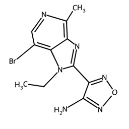 CCn1c(-c2nonc2N)nc2c(C)ncc(Br)c21